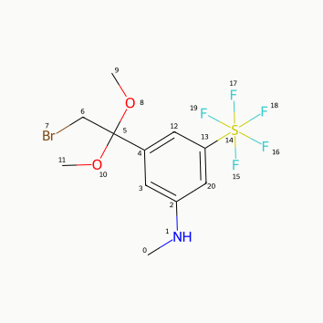 CNc1cc(C(CBr)(OC)OC)cc(S(F)(F)(F)(F)F)c1